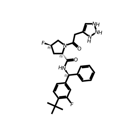 CC(C)(C)c1ccc([C@@H](NC(=O)[C@@H]2C[C@@H](F)CN2C(=O)CC2=CNNN2)c2ccccc2)cc1F